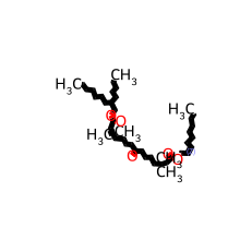 CCCCCCC/C=C\COC(=O)CC(C)(C)CCCCC(=O)CCCCC(C)(C)CC(=O)OCC(CCCCC)CCCCCCC